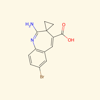 NC1=Nc2ccc(Br)cc2C=C(C(=O)O)C12CC2